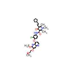 COCCOc1cc2nccc(Oc3ccc(NC(=O)c4c(C)n(C)c(C)c(/C=C/C5CCCC5)c4=O)cc3F)c2nc1OC